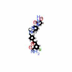 CN(Cc1ccc(-c2cc3cc(F)cc(C(N)=O)c3o2)cc1)Cc1ccc(N2CCC(=O)NC2=O)cn1